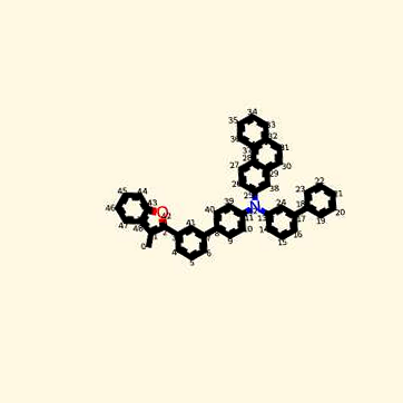 Cc1c(-c2cccc(-c3ccc(N(c4cccc(-c5ccccc5)c4)c4ccc5c(ccc6ccccc65)c4)cc3)c2)oc2ccccc12